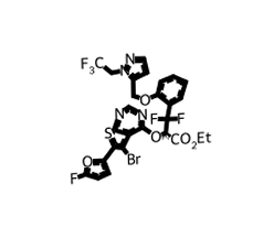 CCOC(=O)[C@@H](Oc1ncnc2sc(-c3ccc(F)o3)c(Br)c12)C(F)(F)c1ccccc1OCc1ccnn1CC(F)(F)F